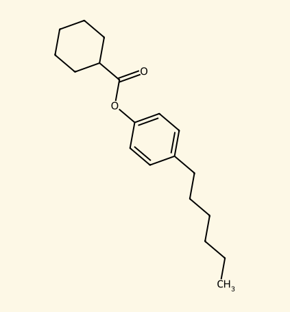 CCCCCCc1ccc(OC(=O)C2CCCCC2)cc1